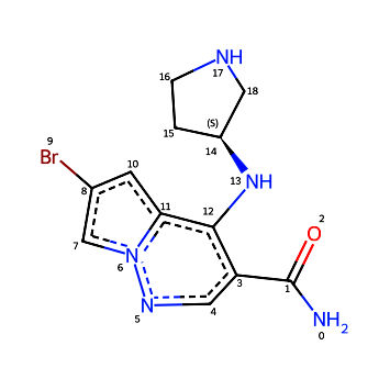 NC(=O)c1cnn2cc(Br)cc2c1N[C@H]1CCNC1